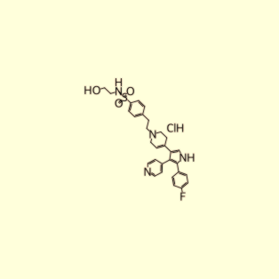 Cl.O=S(=O)(NCCO)c1ccc(CCN2CC=C(c3c[nH]c(-c4ccc(F)cc4)c3-c3ccncc3)CC2)cc1